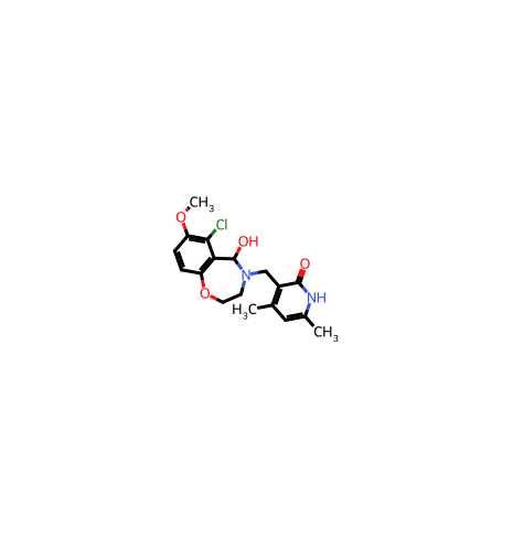 COc1ccc2c(c1Cl)C(O)N(Cc1c(C)cc(C)[nH]c1=O)CCO2